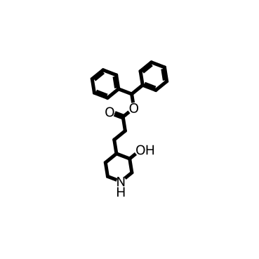 O=C(CCC1CCNCC1O)OC(c1ccccc1)c1ccccc1